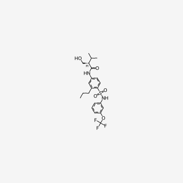 CCCc1cc(NC(=O)[C@@H](CO)C(C)C)ccc1S(=O)(=O)Nc1cccc(OC(F)(F)F)c1